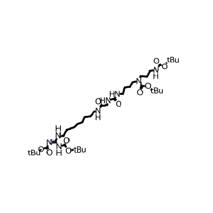 CC(C)(C)OC(=O)/N=C(/NCCCCCCCCNC(=O)CNC(=O)NCCCCN(CCCNC(=O)OC(C)(C)C)C(=O)OC(C)(C)C)NC(=O)OC(C)(C)C